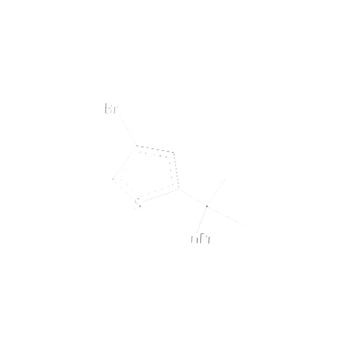 CCCC(C)(C)c1cc(Br)cs1